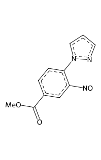 COC(=O)c1ccc(-n2cccn2)c(N=O)c1